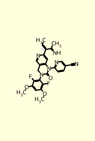 C/C=C(\C(C)=N)c1cc2c(cn1)CN(c1c(F)c(OC)cc(OC)c1F)C(=O)N2c1ccc(C#N)cn1